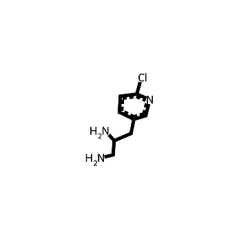 NCC(N)Cc1ccc(Cl)nc1